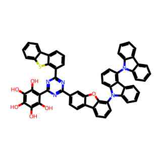 Oc1c(O)c(O)c(-c2nc(-c3ccc4c(c3)oc3c(-n5c6ccccc6c6c(-n7c8ccccc8c8ccccc87)cccc65)cccc34)nc(-c3cccc4c3sc3ccccc34)n2)c(O)c1O